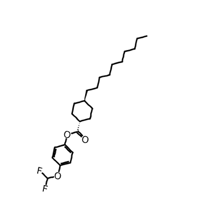 CCCCCCCCCC[C@H]1CC[C@H](C(=O)Oc2ccc(OC(F)F)cc2)CC1